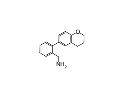 NCc1ccccc1-c1ccc2c(c1)CCCO2